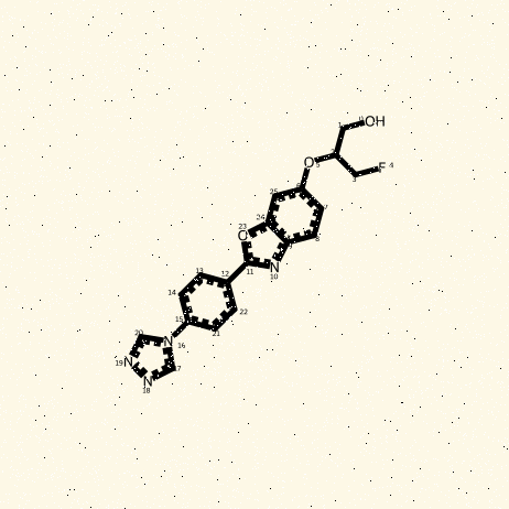 OCC(CF)Oc1ccc2nc(-c3ccc(-n4cnnc4)cc3)oc2c1